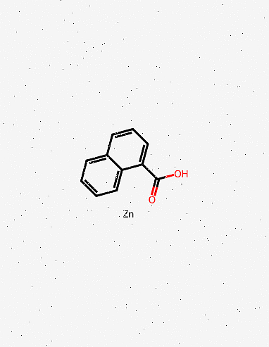 O=C(O)c1cccc2ccccc12.[Zn]